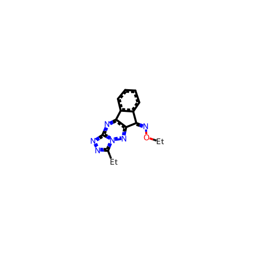 CCON=C1c2ccccc2-c2nc3nnc(CC)n3nc21